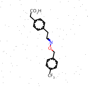 O=C(O)Cc1ccc(CC=NOCc2ccc(C(F)(F)F)cc2)cc1